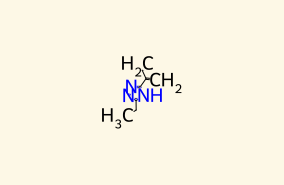 C=CC(=C)c1nnc(CC)[nH]1